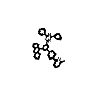 Cc1cccc(-c2ccc(-c3cc(-c4nc(-c5ccccc5)nc(-c5ccccc5)n4)cc(-c4c5ccccc5cc5ccccc45)c3)cc2)n1